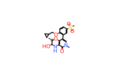 C[C@H]1Oc2c(-c3cc(S(C)(=O)=O)ccc3OCC3CC3)cn(C)c(=O)c2NC1O